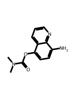 CN(C)C(=O)Oc1ccc(N)c2ncccc12